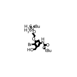 CC(C)(C)OC(=O)Nc1cc(CO)c(Br)c(OCCO[Si](C)(C)C(C)(C)C)c1